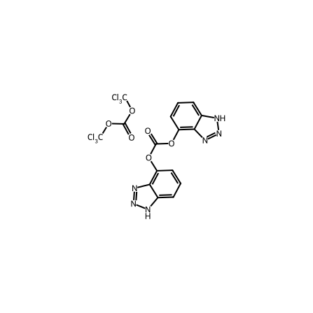 O=C(OC(Cl)(Cl)Cl)OC(Cl)(Cl)Cl.O=C(Oc1cccc2[nH]nnc12)Oc1cccc2[nH]nnc12